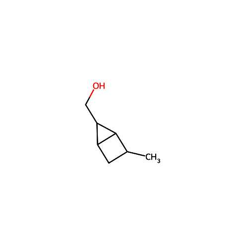 CC1CC2C(CO)C12